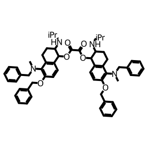 CC(C)NC1CCc2c(ccc(OCc3ccccc3)c2N(C)Cc2ccccc2)C1OC(=O)C(=O)OC1c2ccc(OCc3ccccc3)c(N(C)Cc3ccccc3)c2CCC1NC(C)C